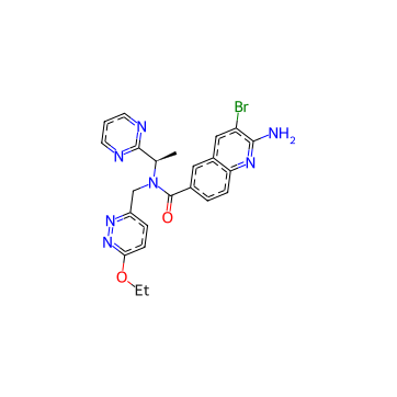 CCOc1ccc(CN(C(=O)c2ccc3nc(N)c(Br)cc3c2)[C@H](C)c2ncccn2)nn1